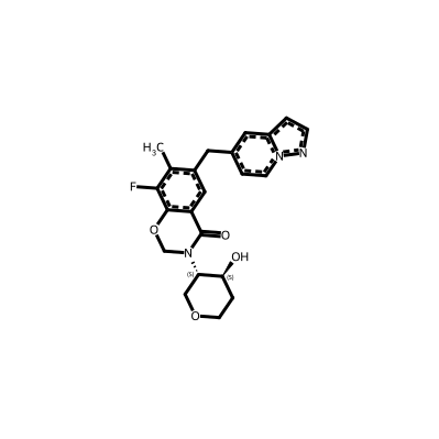 Cc1c(Cc2ccn3nccc3c2)cc2c(c1F)OCN([C@H]1COCC[C@@H]1O)C2=O